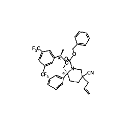 C=CCC1(C#N)CC[C@@](CO[C@H](C)c2cc(C(F)(F)F)cc(C(F)(F)F)c2)(c2ccccc2)N(C(=O)OCc2ccccc2)C1